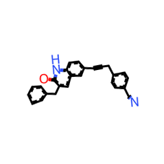 N#Cc1ccc(CC#Cc2ccc3[nH]c(=O)c(Cc4ccccc4)cc3c2)cc1